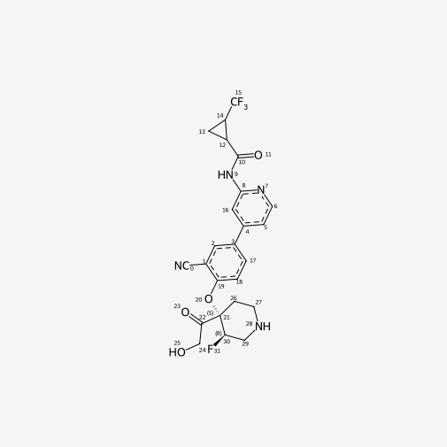 N#Cc1cc(-c2ccnc(NC(=O)C3CC3C(F)(F)F)c2)ccc1O[C@]1(C(=O)CO)CCNC[C@H]1F